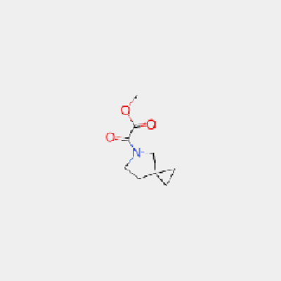 COC(=O)C(=O)N1CCC2(CC2)C1